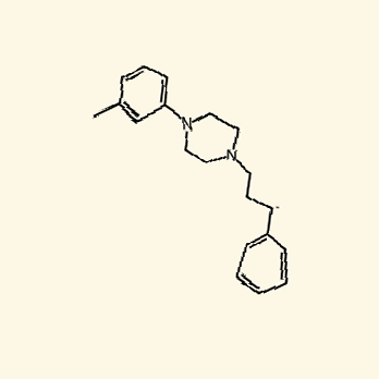 Cc1cccc(N2CCN(CC[CH]c3ccccc3)CC2)c1